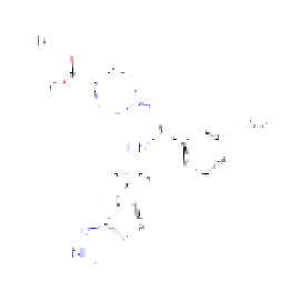 COc1cccc(C(CN2CCN(C(=O)OC(C)(C)C)CC2)N[C@H](C)[C@]2(C)C3=CC=C(NN)[C@]32C)c1